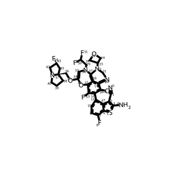 N#Cc1c(N)sc2c(F)ccc(-c3c(F)c4c5c(c3Cl)=NCN(C3COC3)C=5N(CC(F)F)C=C(OC[C@@]35CCCN3C[C@H](F)C5)O4)c12